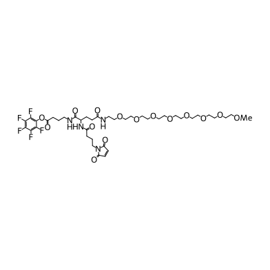 COCCOCCOCCOCCOCCOCCOCCOCCNC(=O)CCC(NC(=O)CCCN1C(=O)C=CC1=O)C(=O)NCCCC(=O)Oc1c(F)c(F)c(F)c(F)c1F